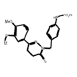 CCOC(=O)Nc1ccc(CN2N=C(c3ccc(OC)c(OCC)c3)CCC2=O)cc1